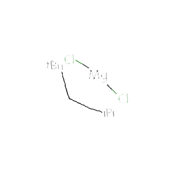 CC(C)CC(C)(C)C.[Cl][Mg][Cl]